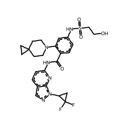 O=C(Nc1ccc2cnn(C3CC3(F)F)c2n1)c1ccc(NS(=O)(=O)CCO)cc1N1CCC2(CC1)CC2